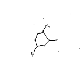 [CH2]CC1CCC(O)C(Cl)C1